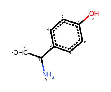 NC([C]=O)c1ccc(O)cc1